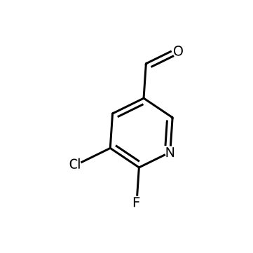 O=Cc1cnc(F)c(Cl)c1